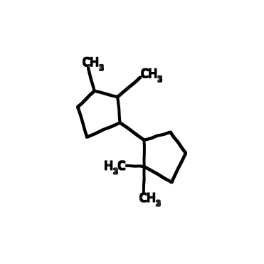 CC1CCC(C2CCCC2(C)C)C1C